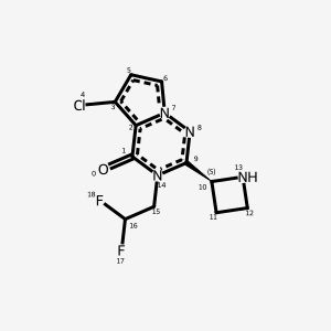 O=c1c2c(Cl)ccn2nc([C@@H]2CCN2)n1CC(F)F